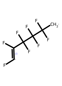 [CH2]C(F)(F)C(F)(F)C(F)(F)/C(F)=[C]/F